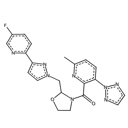 Cc1ccc(-n2nccn2)c(C(=O)N2CCOC2Cn2ccc(-c3ccc(F)cn3)n2)n1